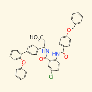 O=C(O)CC(NC(=O)c1cc(Cl)ccc1NC(=O)c1ccc(OCc2ccccc2)cc1)c1ccc(-c2ccccc2Oc2ccccc2)cc1